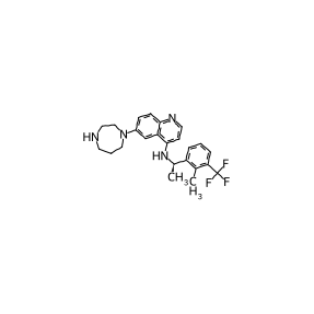 Cc1c([C@@H](C)Nc2ccnc3ccc(N4CCCNCC4)cc23)cccc1C(F)(F)F